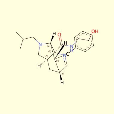 CC(C)CN1C[C@@H]2C[C@H]3C=N[C@]2(C(=O)NCCO)[C@@H]1[C@@H]3Cc1ccccc1